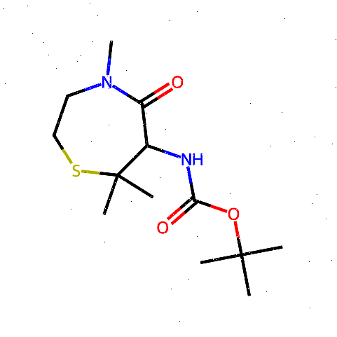 CN1CCSC(C)(C)C(NC(=O)OC(C)(C)C)C1=O